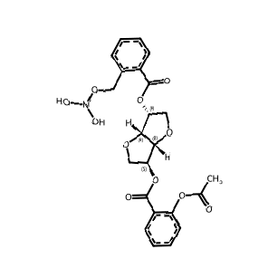 CC(=O)Oc1ccccc1C(=O)O[C@H]1CO[C@H]2[C@@H]1OC[C@H]2OC(=O)c1ccccc1CON(O)O